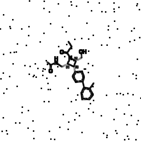 CCC(=O)N1[C@H](CO)[C@H](c2ccc(-c3ccccc3C)cc2)[C@@H]1CNC(C)=O